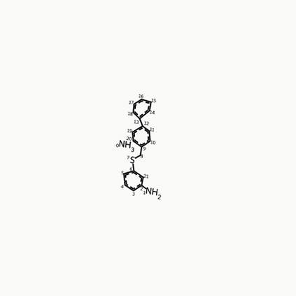 N.Nc1cccc(SCc2ccc(-c3ccccc3)cc2)c1